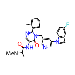 CNC(C)C(=O)Nc1cnc(-c2ccccc2C)n(Cc2cncc(-n3ccc4cc(F)ccc43)c2)c1=O